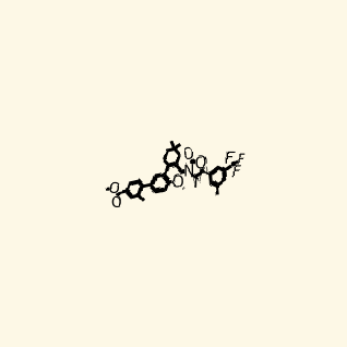 COC(=O)c1ccc(-c2ccc(OC)c(C3=C(CN4C(=O)O[C@@H](c5cc(C)cc(C(F)(F)F)c5)[C@H]4C)CC(C)(C)CC3)c2)c(C)c1